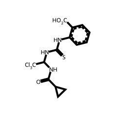 O=C(O)c1ccccc1NC(=S)NC(NC(=O)C1CC1)C(Cl)(Cl)Cl